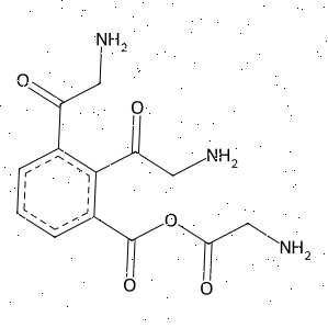 NCC(=O)OC(=O)c1cccc(C(=O)CN)c1C(=O)CN